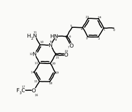 Cc1ccc(CC(=O)Nn2c(N)nc3cc(OC(F)(F)F)ccc3c2=O)cc1